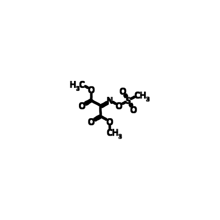 COC(=O)C(=NOS(C)(=O)=O)C(=O)OC